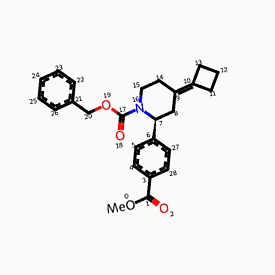 COC(=O)c1ccc([C@@H]2CC(=C3CCC3)CCN2C(=O)OCc2ccccc2)cc1